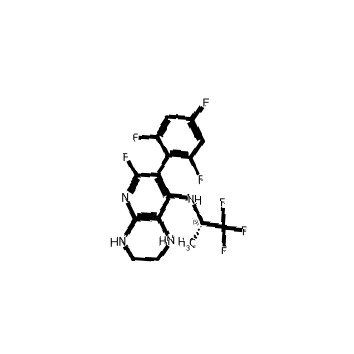 C[C@H](Nc1c2c(nc(F)c1-c1c(F)cc(F)cc1F)NCCN2)C(F)(F)F